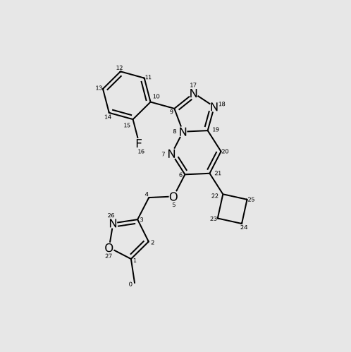 Cc1cc(COc2nn3c(-c4ccccc4F)nnc3cc2C2CCC2)no1